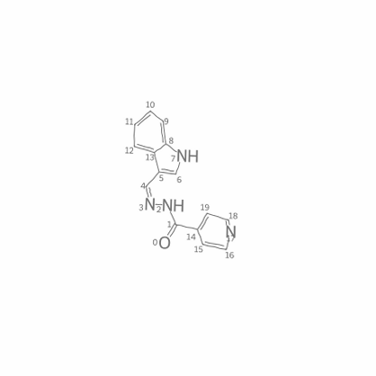 O=C(N/N=C\c1c[nH]c2ccccc12)c1ccncc1